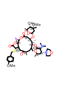 COc1ccc(CSC2C(=O)O[C@@]3(C)[C@H]2[C@@H](C)C(=O)[C@H](C)C[C@@](C)(OC)[C@H](O[C@@H]2O[C@H](C)C[C@@H](N4CCOCC4)C2N(C)C)[C@@H](C)[C@H](O[C@H]2C[C@@](C)(OC)[C@@H](OC(C)=O)[C@H](C)O2)[C@@H](C)C(=O)O[C@@H]3I)cc1